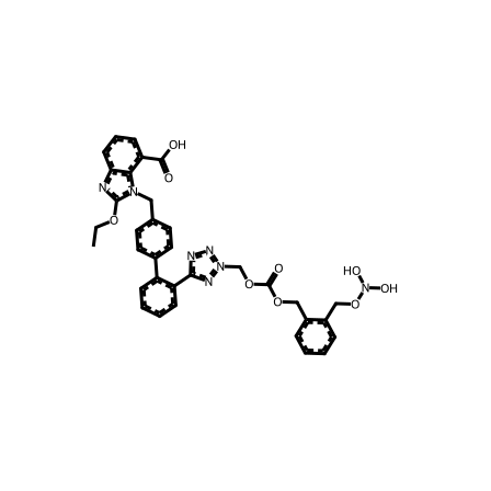 CCOc1nc2cccc(C(=O)O)c2n1Cc1ccc(-c2ccccc2-c2nnn(COC(=O)OCc3ccccc3CON(O)O)n2)cc1